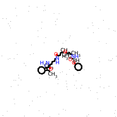 CCC1C2CCCCCCCC2C1(C)C(=O)C(N)CCCCNC(=O)CCC(C)(C)OCCC(C)(C)NC(=O)BOC1CCCCCCCC1